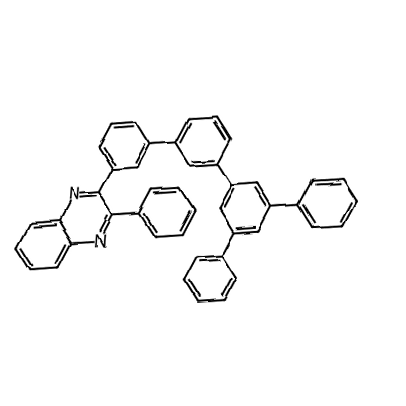 c1ccc(-c2cc(-c3ccccc3)cc(-c3cccc(-c4cccc(-c5nc6ccccc6nc5-c5ccccc5)c4)c3)c2)cc1